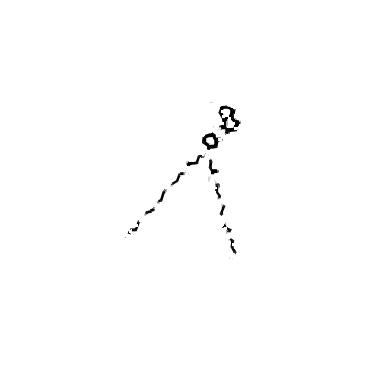 NCCCOCCOCCOCCCNC(=O)CCN(CCC(=O)NCCCOCCOCCOCCCN)c1ccc2nc3c4cc(O)ccc4c(=O)cc-3oc2c1